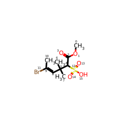 COC(=O)C(C(C)(C)/C=C(\C)Br)S(=O)(=O)O